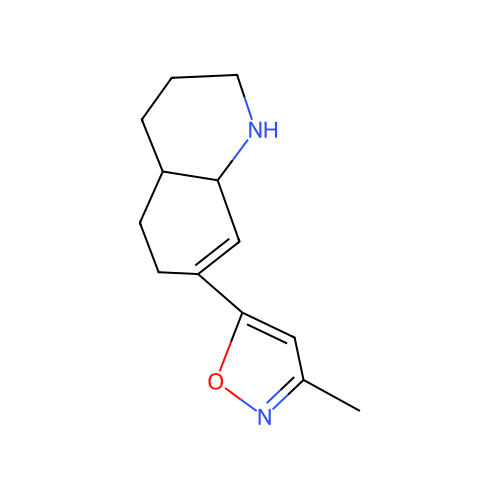 Cc1cc(C2=CC3NCCCC3CC2)on1